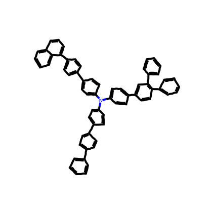 c1ccc(-c2ccc(-c3ccc(N(c4ccc(-c5ccc(-c6cccc7ccccc67)cc5)cc4)c4ccc(-c5ccc(-c6ccccc6)c(-c6ccccc6)c5)cc4)cc3)cc2)cc1